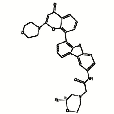 CC[C@@H]1CN(CC(=O)Nc2ccc3sc4c(-c5cccc6c(=O)cc(N7CCOCC7)oc56)cccc4c3c2)CCO1